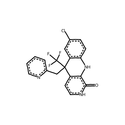 O=c1[nH]ccc2c1Nc1ccc(Cl)cc1C2(Cc1ccccn1)C(F)(F)F